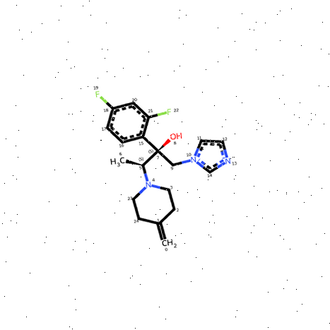 C=C1CCN([C@@H](C)[C@@](O)(Cn2ccnc2)c2ccc(F)cc2F)CC1